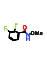 CONC(=O)c1cccc(F)c1F